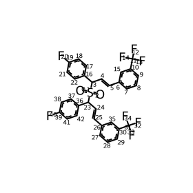 O=S(=O)(C(C=Cc1cccc(C(F)(F)F)c1)c1ccc(F)cc1)C(C=Cc1cccc(C(F)(F)F)c1)c1ccc(F)cc1